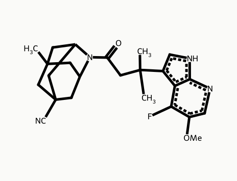 COc1cnc2[nH]cc(C(C)(C)CC(=O)N3C4CC5(C)CC3CC(C#N)(C4)C5)c2c1F